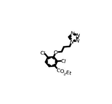 CCOC(=O)c1ccc(Cl)c(OCCCn2cnnn2)c1Cl